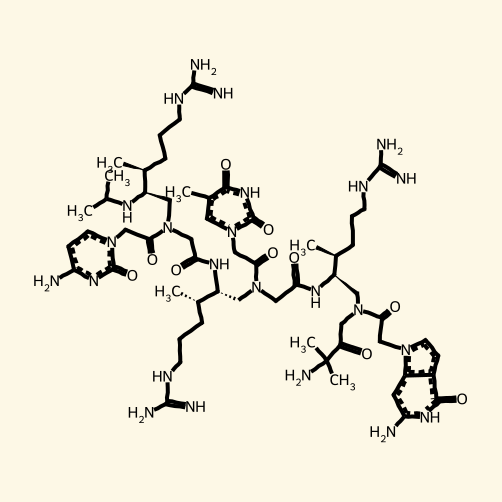 Cc1cn(CC(=O)N(CC(=O)N[C@H](CN(CC(=O)C(C)(C)N)C(=O)Cn2ccc3c(=O)[nH]c(N)cc32)[C@@H](C)CCCNC(=N)N)C[C@@H](NC(=O)CN(C[C@@H](NC(C)C)[C@@H](C)CCCNC(=N)N)C(=O)Cn2ccc(N)nc2=O)[C@@H](C)CCCNC(=N)N)c(=O)[nH]c1=O